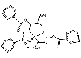 CO[C@H]1O[C@H](COC(=O)c2ccccc2)[C@](O)(C(=S)SC)[C@H](OC(=O)c2ccccc2)[C@H]1OC(=O)c1ccccc1